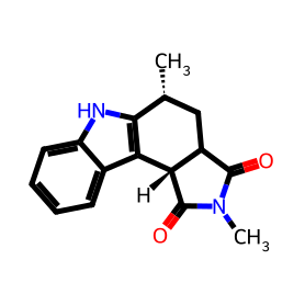 C[C@@H]1CC2C(=O)N(C)C(=O)[C@@H]2c2c1[nH]c1ccccc21